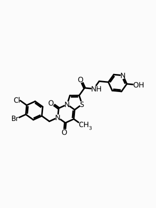 Cc1c(=O)n(Cc2ccc(Cl)c(Br)c2)c(=O)n2cc(C(=O)NCc3ccc(O)nc3)sc12